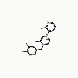 CC1=C[PH](c2cccpc2C)=CC=C1Cc1cc(C)c(C)cp1